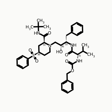 CC(C)[C@H](NC(=O)OCc1ccccc1)C(=O)N[C@@H](Cc1ccccc1)[C@H](O)CN1CC[C@@H](S(=O)(=O)c2ccccc2)C[C@H]1C(=O)NC(C)(C)C